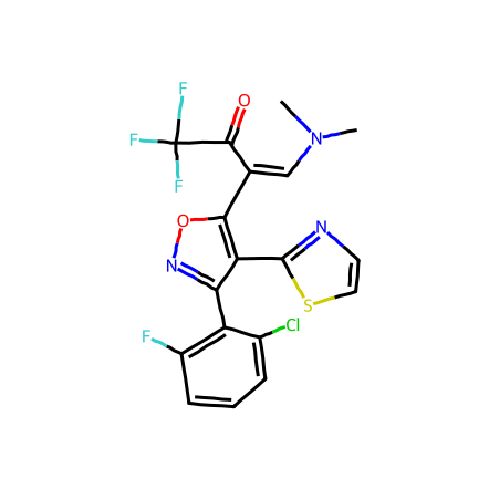 CN(C)C=C(C(=O)C(F)(F)F)c1onc(-c2c(F)cccc2Cl)c1-c1nccs1